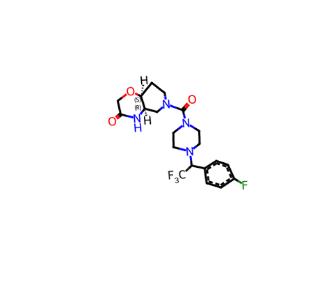 O=C1CO[C@H]2CCN(C(=O)N3CCN(C(c4ccc(F)cc4)C(F)(F)F)CC3)C[C@H]2N1